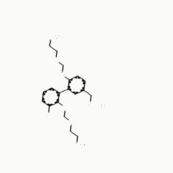 COCCOCOc1ccc(CC(=O)O)cc1-c1cccc(C=O)c1OCOCCOC